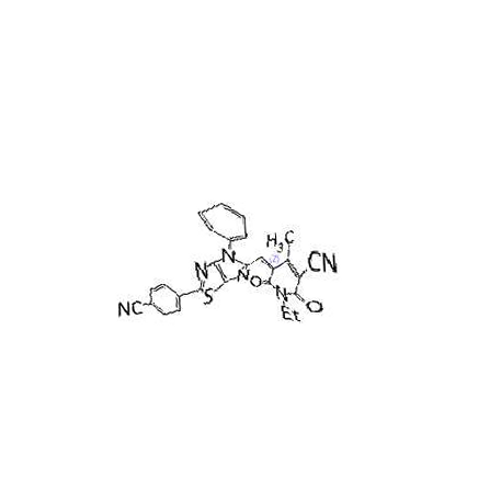 CCN1C(=O)C(C#N)=C(C)/C(=C/c2nc3sc(-c4ccc(C#N)cc4)nc3n2-c2ccccc2)C1=O